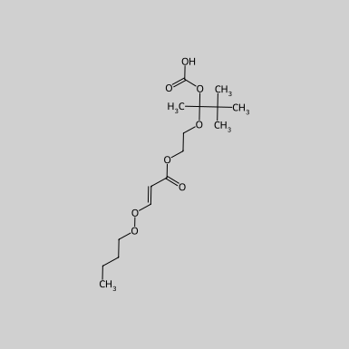 CCCCOOC=CC(=O)OCCOC(C)(OC(=O)O)C(C)(C)C